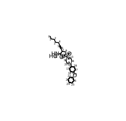 CCCCCC#CC(CS(=O)(=O)N1CCN(c2ccc(Oc3ccccc3)cc2)CC1)C(=O)NO